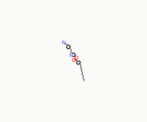 CCCCCCCCCCc1ccc(C(=O)Oc2ccc(CCc3ccc(C#N)cc3)nc2)cc1